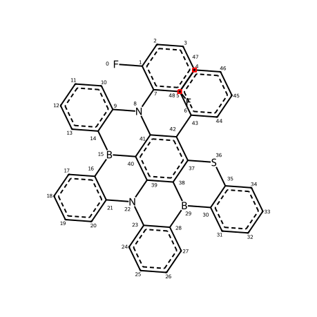 Fc1cccc(F)c1N1c2ccccc2B2c3ccccc3N3c4ccccc4B4c5ccccc5Sc5c4c3c2c1c5-c1ccccc1